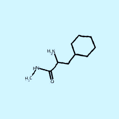 CNC(=O)C(N)CC1CCCCC1